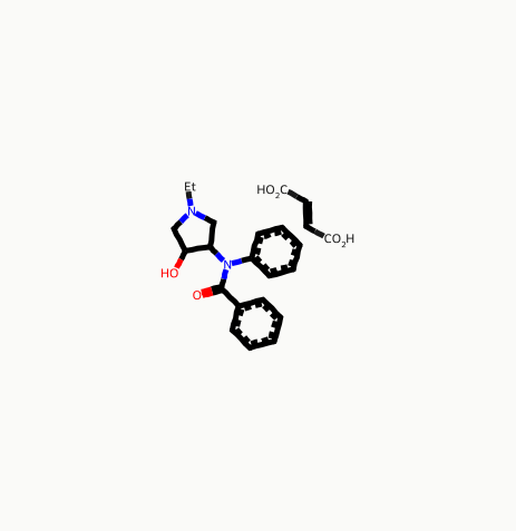 CCN1CC(O)C(N(C(=O)c2ccccc2)c2ccccc2)C1.O=C(O)C=CC(=O)O